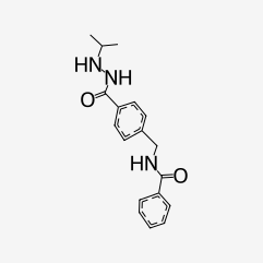 CC(C)NNC(=O)c1ccc(CNC(=O)c2ccccc2)cc1